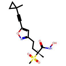 CC1(C#Cc2cc(CC[C@](C)(C(=O)NO)S(C)(=O)=O)no2)CC1